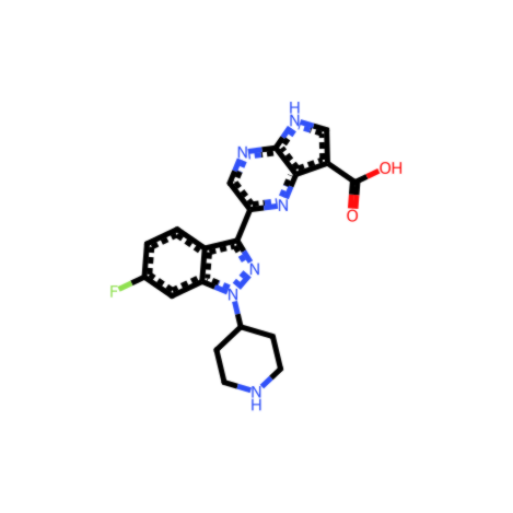 O=C(O)c1c[nH]c2ncc(-c3nn(C4CCNCC4)c4cc(F)ccc34)nc12